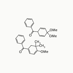 COC1(OC)C=CC(C(=O)c2ccccc2)C=C1.COC1=CC=C(C(=O)c2ccccc2)CC1(C)C